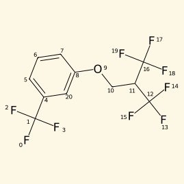 FC(F)(F)c1cccc(OCC(C(F)(F)F)C(F)(F)F)c1